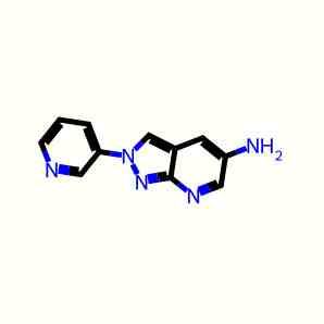 Nc1cnc2nn(-c3cccnc3)cc2c1